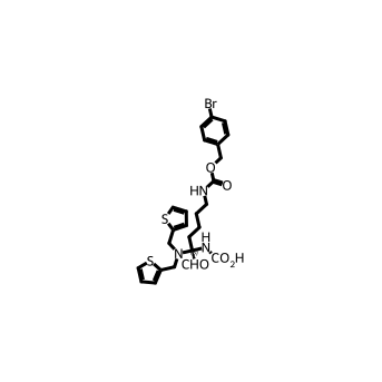 O=C[C@@](CCCCNC(=O)OCc1ccc(Br)cc1)(NC(=O)O)N(Cc1cccs1)Cc1cccs1